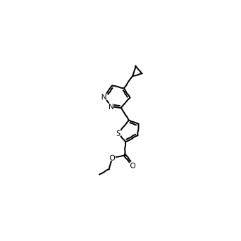 CCOC(=O)c1ccc(-c2cc(C3CC3)cnn2)s1